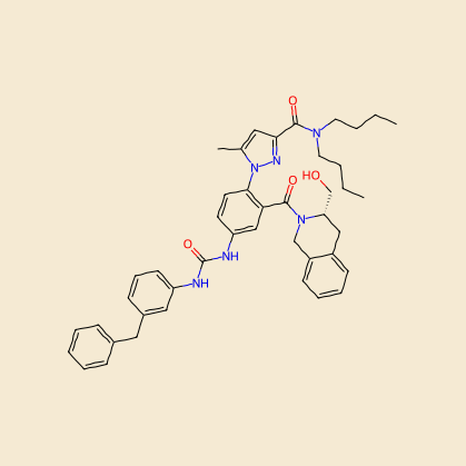 CCCCN(CCCC)C(=O)c1cc(C)n(-c2ccc(NC(=O)Nc3cccc(Cc4ccccc4)c3)cc2C(=O)N2Cc3ccccc3C[C@H]2CO)n1